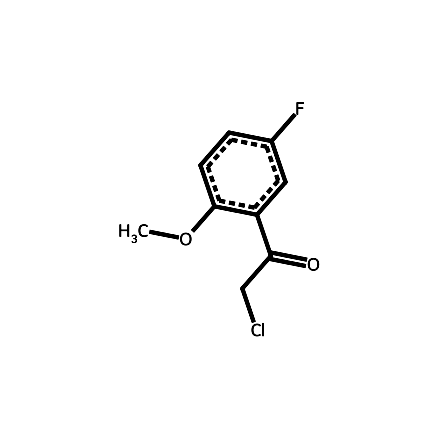 COc1ccc(F)cc1C(=O)CCl